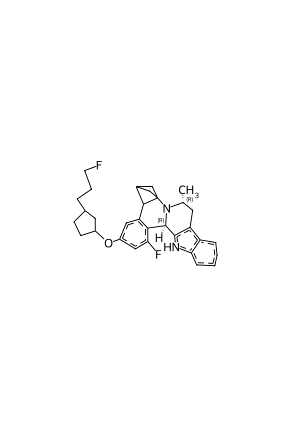 C[C@@H]1Cc2c([nH]c3ccccc23)[C@H]2c3c(F)cc(OC4CCC(CCCF)C4)cc3C3C4CC3(C4)N21